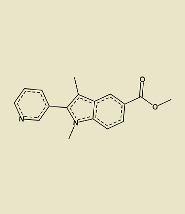 COC(=O)c1ccc2c(c1)c(C)c(-c1cccnc1)n2C